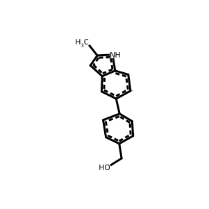 Cc1cc2cc(-c3ccc(CO)cc3)[c]cc2[nH]1